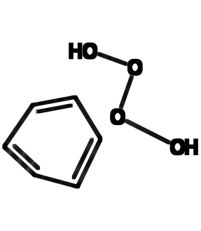 OOOO.c1ccccc1